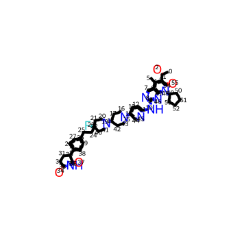 CC(=O)c1c(C)c2cnc(Nc3ccc(N4CCC(N5CCC(F)(CCc6ccc(C7CCC(=O)NC7=O)cc6)CC5)CC4)cn3)nc2n(C2CCCC2)c1=O